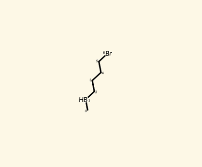 CBCCCCBr